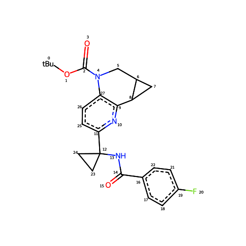 CC(C)(C)OC(=O)N1CC2CC2c2nc(C3(NC(=O)c4ccc(F)cc4)CC3)ccc21